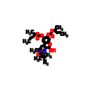 CCCC(C)OC(=O)Oc1ccc(C(CC(C)OC(=O)C(C)(C)C)[C@H](N)C(=O)O)cc1OC(=O)OC(C)CCC